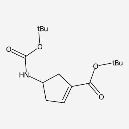 CC(C)(C)OC(=O)NC1CC=C(C(=O)OC(C)(C)C)C1